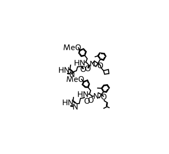 COc1ccc(CC(NC(=O)CCc2nc[nH]c2C)C(=O)N2CC(OCC3CCC3)(c3ccccc3C)C2)cc1.COc1ccc(CC(NC(=O)CCc2nc[nH]c2C)C(=O)N2CC(OCC=C(C)C)(c3ccccc3C)C2)cc1